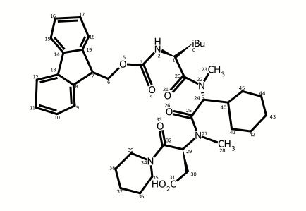 CC[C@H](C)[C@H](NC(=O)OCC1c2ccccc2-c2ccccc21)C(=O)N(C)[C@@H](C(=O)N(C)[C@@H](CC(=O)O)C(=O)N1CCCCC1)C1CCCCC1